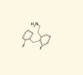 NCCc1cccc(F)c1Cc1ccccc1F